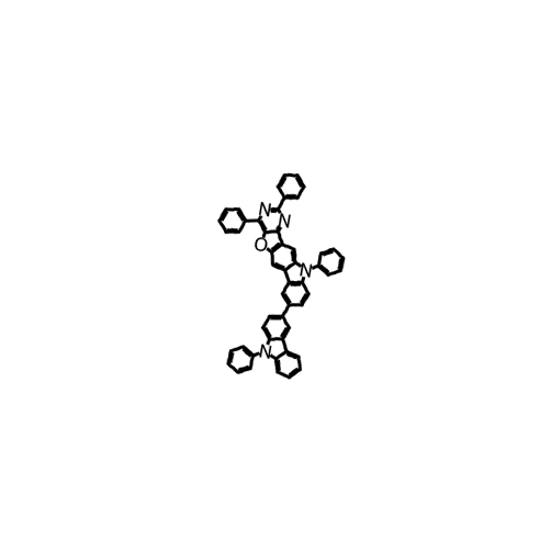 c1ccc(-c2nc(-c3ccccc3)c3oc4cc5c6cc(-c7ccc8c(c7)c7ccccc7n8-c7ccccc7)ccc6n(-c6ccccc6)c5cc4c3n2)cc1